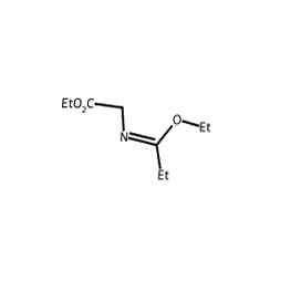 CCOC(=O)CN=C(CC)OCC